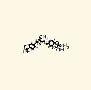 Cc1nc(-c2ccc(C(F)(F)F)cc2)sc1CSc1ccc(OC(C)C(=O)O)cc1